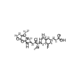 C=N/C(NCc1c(F)cc(/C=C/C(=O)O)cc1P)=C(Cl)\C=C1/CN=C(OC2OCC[C@H]2OCC)N1